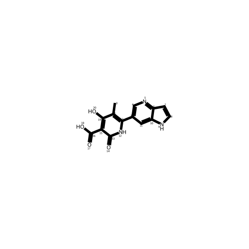 Cc1c(-c2cnc3cc[nH]c3c2)[nH]c(=O)c(C(=O)O)c1O